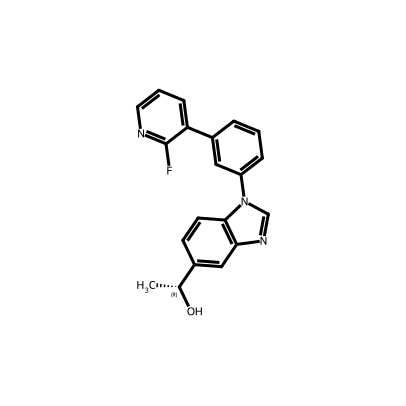 C[C@@H](O)c1ccc2c(c1)ncn2-c1cccc(-c2cccnc2F)c1